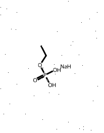 CCOP(=O)(O)O.[NaH]